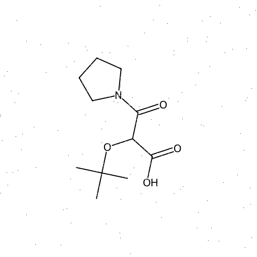 CC(C)(C)OC(C(=O)O)C(=O)N1CCCC1